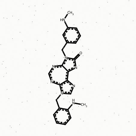 CNc1cccc(Cn2c3ncnc4c(ncn4Cc4ccccc4NC)c-3nc2=O)c1